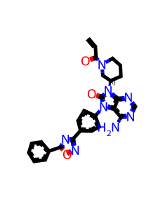 C=CC(=O)N1CCC[C@@H](n2c(=O)n(-c3ccc(-c4noc(-c5ccccc5)n4)cc3)c3c(N)ncnc32)C1